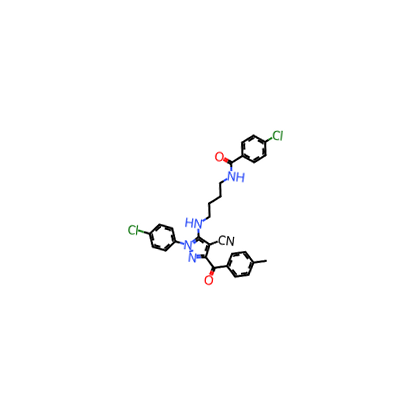 Cc1ccc(C(=O)c2nn(-c3ccc(Cl)cc3)c(NCCCCNC(=O)c3ccc(Cl)cc3)c2C#N)cc1